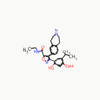 CCNC(=O)c1onc(-c2cc(C(C)C)c(O)cc2O)c1-c1ccc2c(c1)CCNCC2